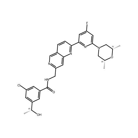 C[C@@H]1CN(c2cc(F)cc(-c3ccc4cnc(CNC(=O)c5cc(Cl)cc([C@@H](C)O)c5)cc4n3)n2)C[C@H](C)O1